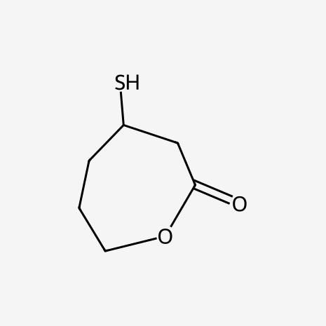 O=C1CC(S)CCCO1